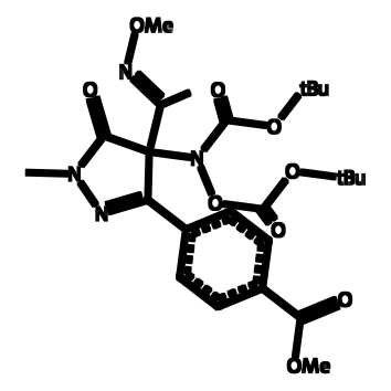 CON=C(C)C1(N(OC(=O)OC(C)(C)C)C(=O)OC(C)(C)C)C(=O)N(C)N=C1c1ccc(C(=O)OC)cc1